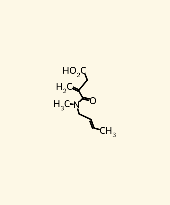 C=C(CC(=O)O)C(=O)N(C)C/C=C/C